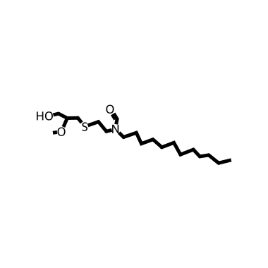 CCCCCCCCCCCCN(C=O)CCSCC(CO)OC